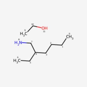 CCCCC(CC)CN.CCO